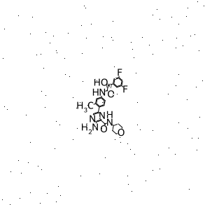 Cc1cc(NC(=O)[C@H](O)c2cc(F)cc(F)c2)ccc1-c1cnc(N)c(C(=O)NC2CCOCC2)n1